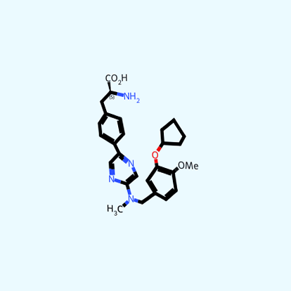 COc1ccc(CN(C)c2cnc(-c3ccc(C[C@H](N)C(=O)O)cc3)cn2)cc1OC1CCCC1